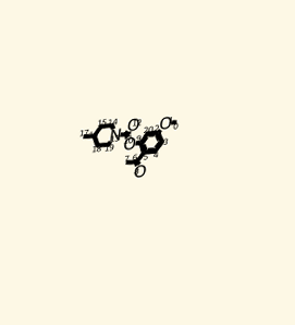 COc1ccc(C(C)=O)c(OC(=O)N2CCC(C)CC2)c1